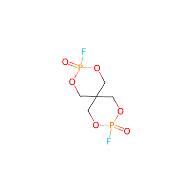 O=P1(F)OCC2(CO1)COP(=O)(F)OC2